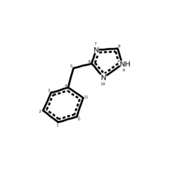 [c]1cccc(Cc2nc[nH]n2)c1